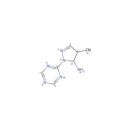 N#CC1C=NN(c2ncncn2)C1N